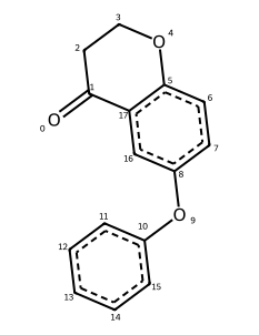 O=C1CCOc2ccc(Oc3ccccc3)cc21